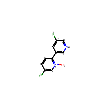 [O-][n+]1cc(Cl)ccc1-c1cncc(F)c1